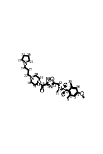 COc1cc(C)c(S(=O)(=O)N(C)Cc2nc(C(=O)N3CCN(CCCN4CCCC4)CC3)no2)c(C)c1